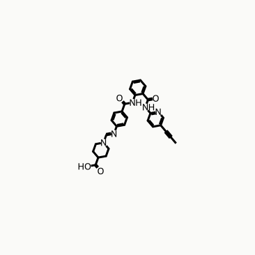 CC#Cc1ccc(NC(=O)c2ccccc2NC(=O)c2ccc(N=CN3CCC(C(=O)O)CC3)cc2)nc1